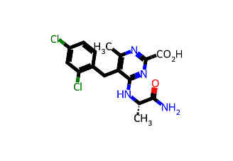 Cc1nc(C(=O)O)nc(N[C@@H](C)C(N)=O)c1Cc1ccc(Cl)cc1Cl